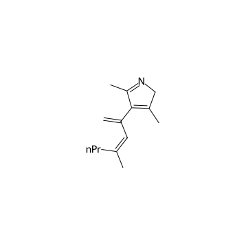 C=C(/C=C(/C)CCC)C1=C(C)CN=C1C